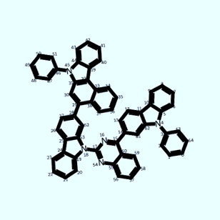 c1ccc(-n2c3ccccc3c3ccc(-c4nc(-n5c6ccccc6c6ccc(-c7cc8c(c9ccccc79)c7ccccc7n8-c7ccccc7)cc65)nc5ccccc45)cc32)cc1